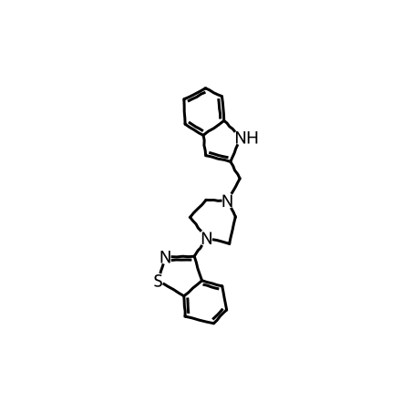 c1ccc2[nH]c(CN3CCN(c4nsc5ccccc45)CC3)cc2c1